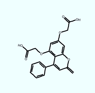 C=C1C=C(c2ccccc2)c2c(OCC(=O)O)cc(OCC(=O)O)cc2O1